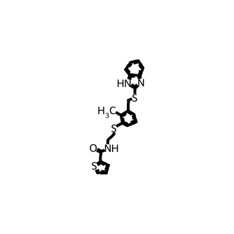 Cc1c(CSc2nc3ccccc3[nH]2)cccc1SCCNC(=O)c1cccs1